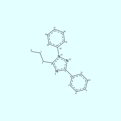 CCCc1nc(-c2ccccc2)nn1-c1ccccc1